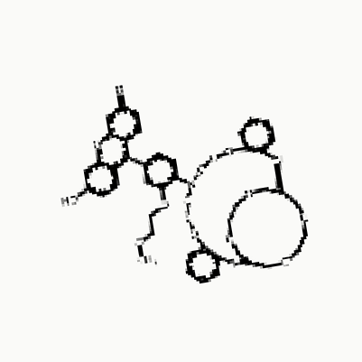 COCCOc1cc(-c2c3ccc(=O)cc-3oc3cc(O)ccc23)ccc1N1CCOc2ccccc2N=C2COCCOCC(=Nc3ccccc3OCC1)COCCOC2